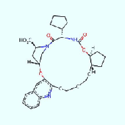 O=C1N[C@@H](C2CCCC2)C(=O)N2C[C@@H](C[C@H]2C(=O)O)Oc2cc3ccccc3nc2CCCCC[C@H]2CCC[C@@H]2O1